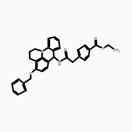 CCOC(=O)c1ccc(CC(=O)NC(c2ccc(OCc3ccccc3)cc2)c2ccccc2N2CCCCC2)cc1